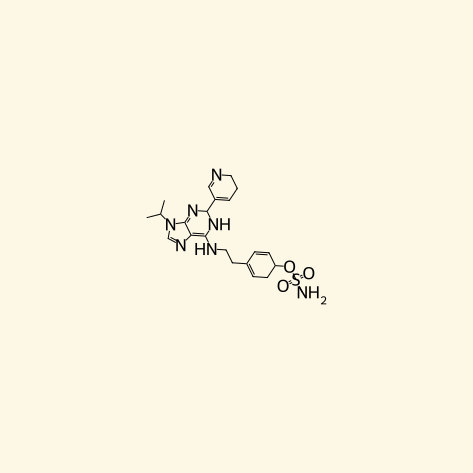 CC(C)n1cnc2c1=NC(C1=CCCN=C1)NC=2NCCC1=CCC(OS(N)(=O)=O)C=C1